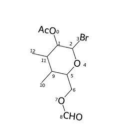 CC(=O)OC1C(Br)OC(COC=O)C(C)C1C